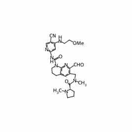 COCCNc1cc(NC(=O)N2CCCc3cc(CN(C)C(=O)[C@H]4CCCN4C)c(C=O)nc32)ncc1C#N